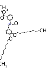 CCCCCCCCCCOc1ccc(/C=C(\C=O)c2cccc(C(=O)OCC)c2)cc1OCCCCCCCCCC